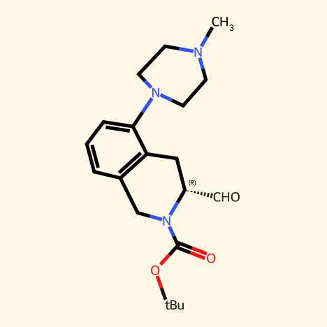 CN1CCN(c2cccc3c2C[C@H](C=O)N(C(=O)OC(C)(C)C)C3)CC1